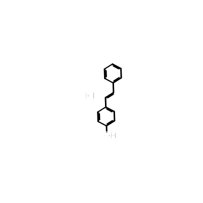 Cl.Oc1ccc(/C=C/c2ccccc2)cc1